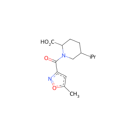 Cc1cc(C(=O)N2CC(C(C)C)CCC2C(=O)O)no1